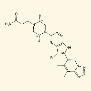 Cc1c(-c2[nH]c3ccc(N4C[C@H](C)N(CCC(N)=O)C[C@@H]4C)nc3c2C(C)C)cn2ncnc2c1C